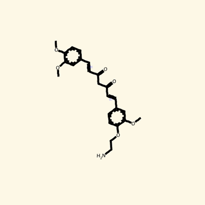 COc1ccc(/C=C/C(=O)CC(=O)/C=C/c2ccc(OCCN)c(OC)c2)cc1OC